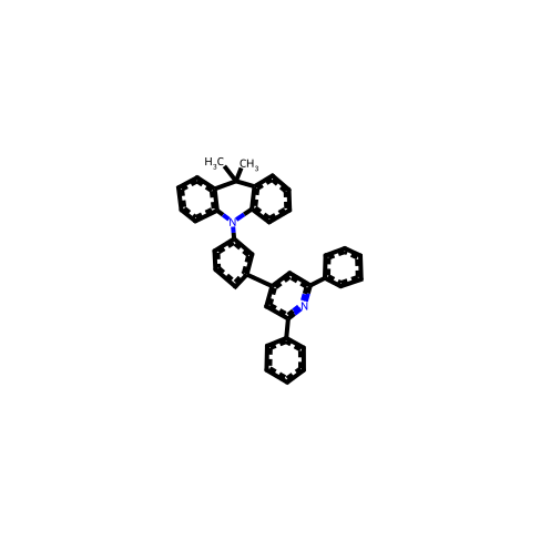 CC1(C)c2ccccc2N(c2cccc(-c3cc(-c4ccccc4)nc(-c4ccccc4)c3)c2)c2ccccc21